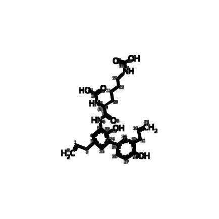 C=CCc1cc(NC(=O)[C@H](CCCCNC(=O)O)NC(=O)O)c(O)c(-c2ccc(O)c(CC=C)c2)c1